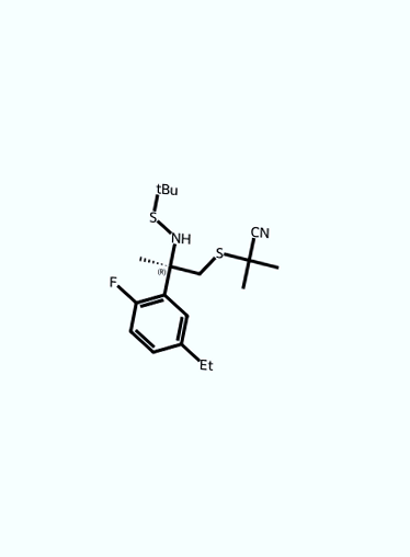 CCc1ccc(F)c([C@](C)(CSC(C)(C)C#N)NSC(C)(C)C)c1